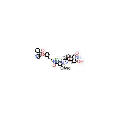 COc1cc(C(=O)NCCCc2cccc(OC(=O)C3([C@@H]4CN5CCC4CC5)CCCCC3)c2)c(Cl)cc1CNC[C@H](O[Si](C)(C)C(C)(C)C)c1ccc(O)c2[nH]c(=O)ccc12